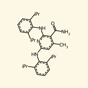 Cc1cc(Nc2c(C(C)C)cccc2C(C)C)nc(Nc2c(C(C)C)cccc2C(C)C)c1C(N)=O